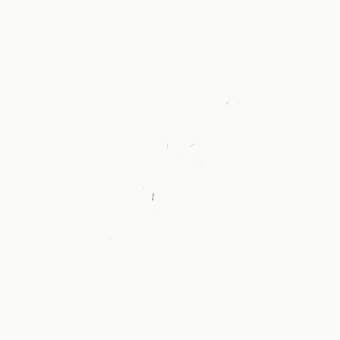 CCCCCCCCCCCCCCCCC(OCC)=C(COCOCOCC(OCC)=C(CCCCCCCCCCCCCCCC)OCC)OCC